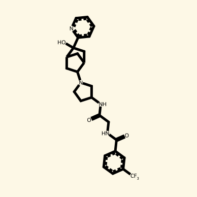 O=C(CNC(=O)c1cccc(C(F)(F)F)c1)NC1CCN(C2CC3CC2CC3(O)c2ccccn2)C1